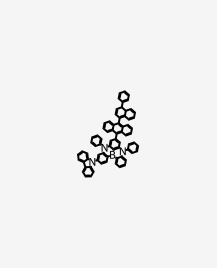 C1=CC2=C(c3c4ccccc4c(-c4cc5c6c(c4)N(c4ccccc4)c4cc(-n7c8ccccc8c8ccccc87)ccc4B6c4ccccc4N5c4ccccc4)c4ccccc34)C=CC(c3ccccc3)C2C=C1